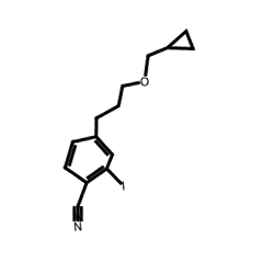 N#Cc1ccc(CCCOCC2CC2)cc1I